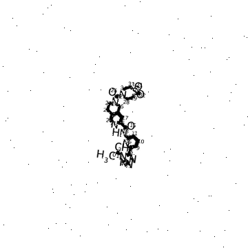 CC(C)n1nnnc1-c1cccc(NC(=O)c2cc3c(cn2)CCN(C(=O)N2CCS(=O)(=O)CC2)C3)n1